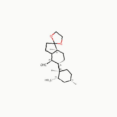 C[C@H]1CC[C@](C)([C@H]2CC[C@@]3(C)C(CCC34OCCO4)[C@@H]2C=O)[C@@H](C(=O)O)C1